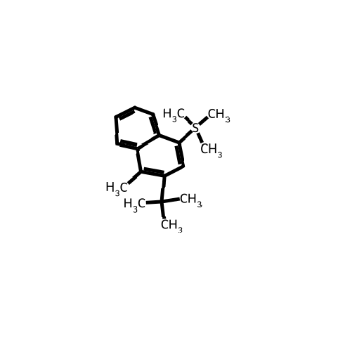 Cc1c(C(C)(C)C)cc(S(C)(C)C)c2ccccc12